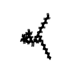 CCCCCCCCSc1nc(NC2=CC(C(C)(C)C)C(O)(C(C)(C)C)C=C2)nc(SCCCCCCCC)n1